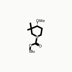 CO[C@@H]1CCN(C(=O)OC(C)(C)C)CC1(C)C